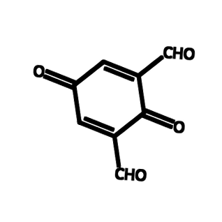 O=CC1=CC(=O)C=C(C=O)C1=O